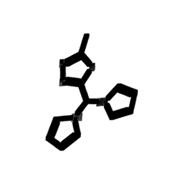 Cc1nnc(C([SH]2C=CC=C2)[SH]2C=CC=C2)s1